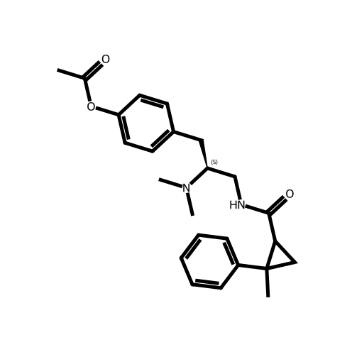 CC(=O)Oc1ccc(C[C@@H](CNC(=O)C2CC2(C)c2ccccc2)N(C)C)cc1